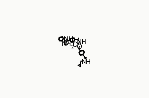 CC(NC(=O)OCc1ccc(C2CC2NCC2CC2)cc1)c1ccc(C(=O)Nc2ccccc2N)cc1